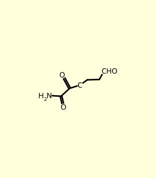 NC(=O)C(=O)CCCC=O